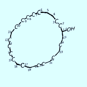 OC1CCCCCCCCCCCCCCCCCCCCCCCC1